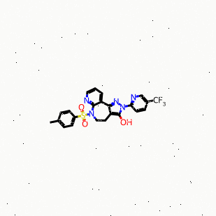 Cc1ccc(S(=O)(=O)N2CCc3c(nn(-c4ccc(C(F)(F)F)cn4)c3O)-c3cccnc32)cc1